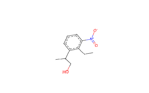 CCc1c([C](C)CO)cccc1[N+](=O)[O-]